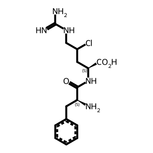 N=C(N)NCC(Cl)C[C@H](NC(=O)[C@@H](N)Cc1ccccc1)C(=O)O